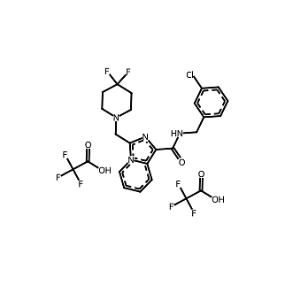 O=C(NCc1cccc(Cl)c1)c1nc(CN2CCC(F)(F)CC2)n2ccccc12.O=C(O)C(F)(F)F.O=C(O)C(F)(F)F